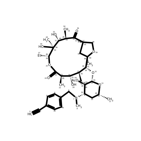 C#Cc1ccc(CN(C)[C@H]2C[C@@H](C)O[C@@H](O[C@@H]3[C@@H](C)[C@H](O)[C@@H](C)C(=O)O[C@H](CC)[C@@](C)(O)[C@H](O)[C@@H](C)C(=O)[C@@H]4CO[C@]3(C)C4)[C@@H]2OC(C)=O)cc1